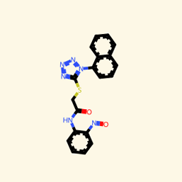 O=Nc1ccccc1NC(=O)CSc1nnnn1-c1cccc2ccccc12